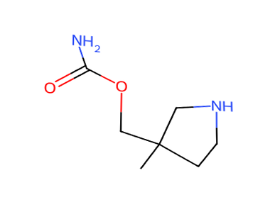 CC1(COC(N)=O)CCNC1